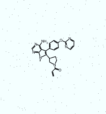 C=CC(=O)N1CCC(c2c(-c3ccc(Oc4ncccn4)cc3)c3c(N)ncnc3n2C)C1